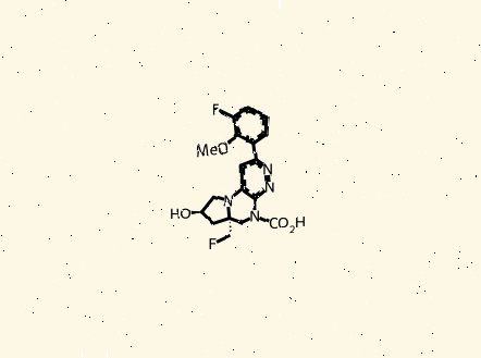 COc1c(F)cccc1-c1cc2c(nn1)N(C(=O)O)C[C@@]1(CF)C[C@@H](O)CN21